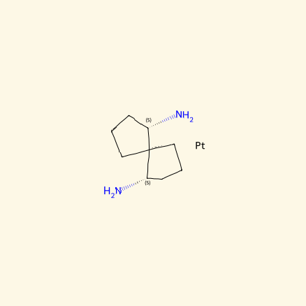 N[C@H]1CCCC12CCC[C@@H]2N.[Pt]